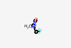 Cc1cc(N2CCOCC2)nc(C=Cc2cccc(C(F)(F)F)c2)n1